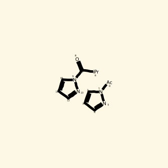 CC(=O)n1cccn1.CC(C)C(=O)n1cccn1